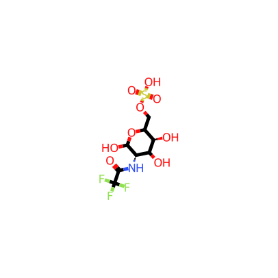 O=C(N[C@@H]1C(O)OC(COS(=O)(=O)O)[C@@H](O)C1O)C(F)(F)F